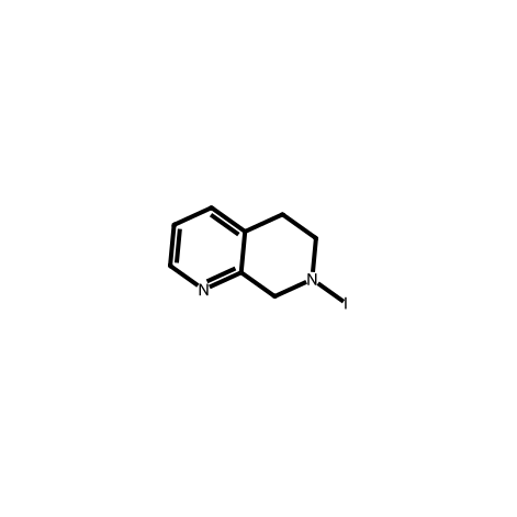 IN1CCc2cccnc2C1